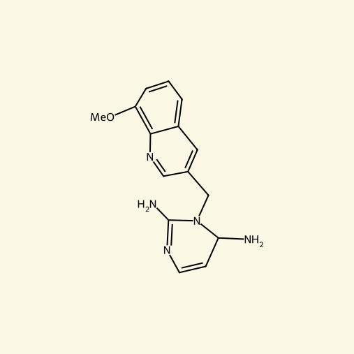 COc1cccc2cc(CN3C(N)=NC=CC3N)cnc12